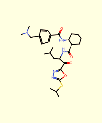 CC(C)CC(NC(=O)[C@@H]1CCCC[C@@H]1NC(=O)c1ccc(CN(C)C)cc1)C(=O)c1nnc(SC(C)C)o1